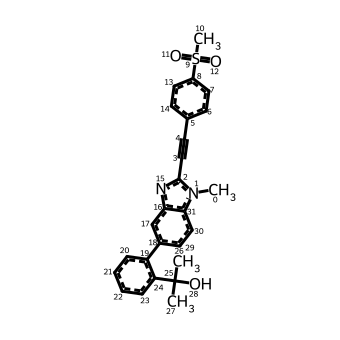 Cn1c(C#Cc2ccc(S(C)(=O)=O)cc2)nc2cc(-c3ccccc3C(C)(C)O)ccc21